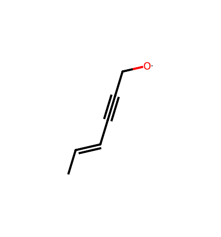 C/C=C/C#CC[O]